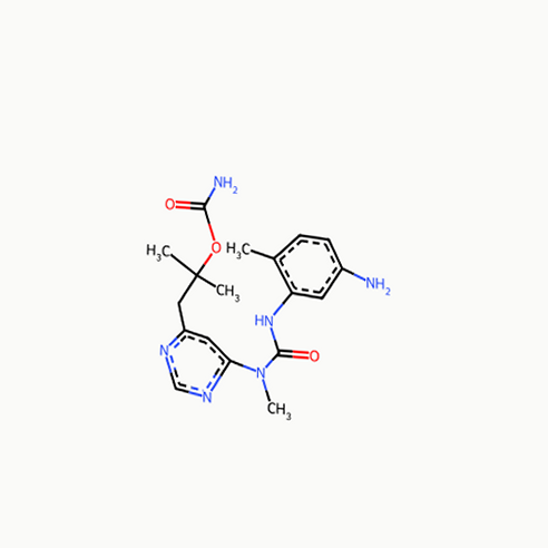 Cc1ccc(N)cc1NC(=O)N(C)c1cc(CC(C)(C)OC(N)=O)ncn1